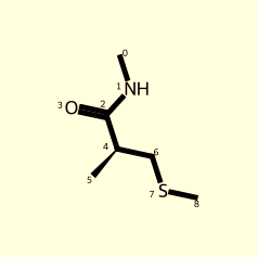 CNC(=O)[C@H](C)CSC